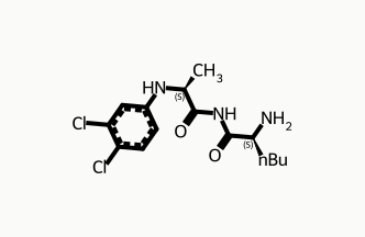 CCCC[C@H](N)C(=O)NC(=O)[C@H](C)Nc1ccc(Cl)c(Cl)c1